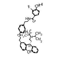 CC(C)N(CC[C@H](c1ccccc1)c1cc(CCOc2ccc(CCNC(=O)c3ccc(O)c(F)c3)cc2)ccc1O)C(C)C